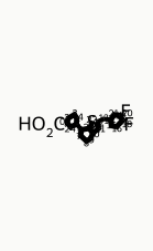 O=C(O)c1cccc(-c2cccc3cc(Cc4ccc(F)c(F)c4)sc23)c1